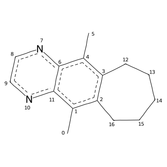 Cc1c2c(c(C)c3nccnc13)CCCCC2